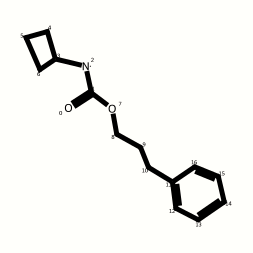 O=C([N]C1CCC1)OCCCc1ccccc1